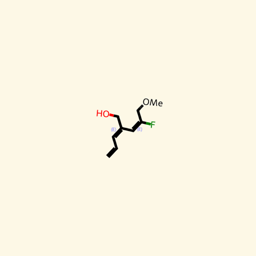 C=C/C=C(\C=C(\F)COC)CO